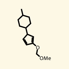 COCOC1=CC(C2CCC(C)CC2)C=C1